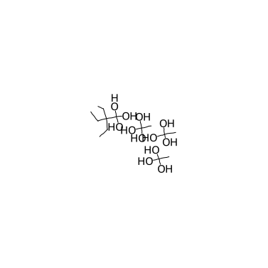 CC(O)(O)O.CC(O)(O)O.CC(O)(O)O.CCC(CC)(CC)C(O)(O)O